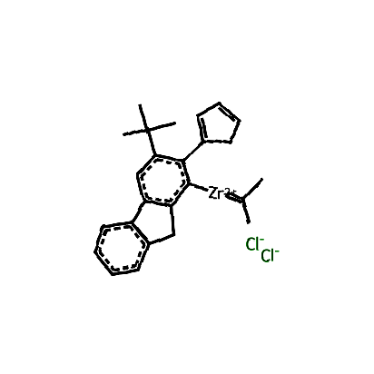 C[C](C)=[Zr+2][c]1c2c(cc(C(C)(C)C)c1C1=CC=CC1)-c1ccccc1C2.[Cl-].[Cl-]